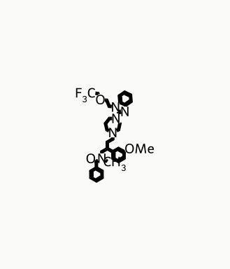 COc1cccc(C(CCN2CCCN(c3nc4ccccc4n3CCOCC(F)(F)F)CC2)CN(C)C(=O)c2ccccc2)c1